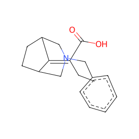 CCC(C(=O)O)=C1C2CCC1CN(Cc1ccccc1)C2